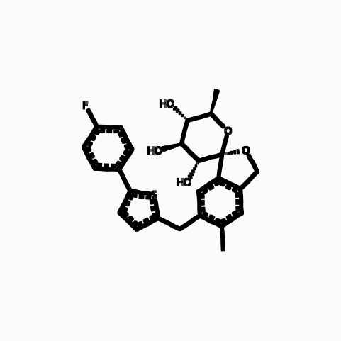 Cc1cc2c(cc1Cc1ccc(-c3ccc(F)cc3)s1)[C@]1(OC2)O[C@H](C)[C@@H](O)[C@H](O)[C@H]1O